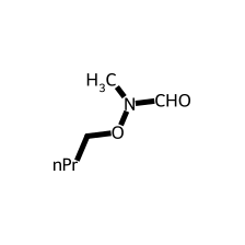 CCCCON(C)C=O